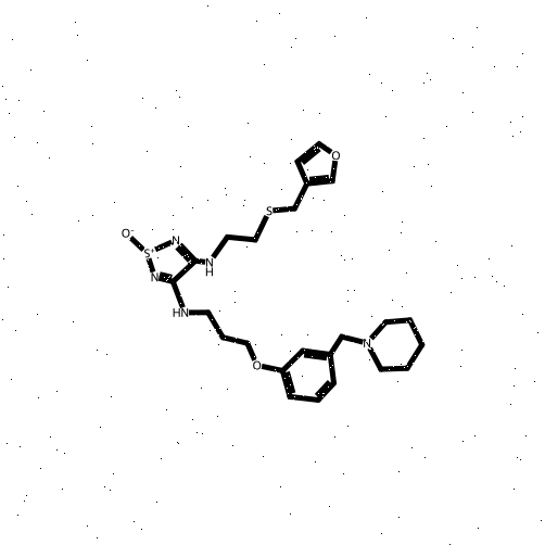 [O-][s+]1nc(NCCCOc2cccc(CN3CCCCC3)c2)c(NCCSCc2ccoc2)n1